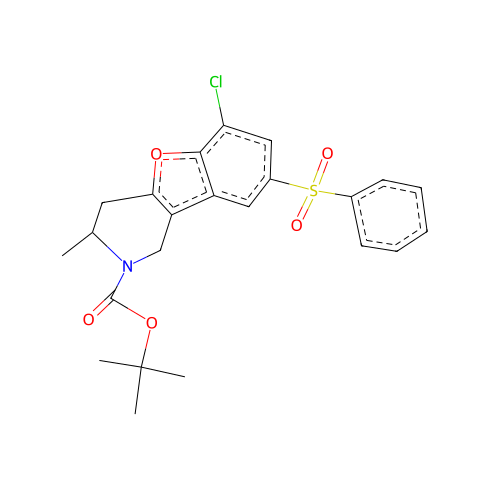 CC1Cc2oc3c(Cl)cc(S(=O)(=O)c4ccccc4)cc3c2CN1C(=O)OC(C)(C)C